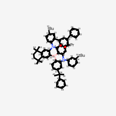 CC(C)c1cc2c3c(c1)N(c1ccc(C(C)(C)C)cc1-c1cccc(-c4ccccc4)c1)c1cc4c(cc1B3c1ccc(C(C)(C)c3ccccc3)cc1N2c1cccc(C(C)(C)C)c1)C(C)(C)CCC4(C)C